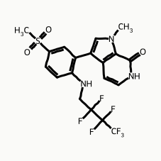 Cn1cc(-c2cc(S(C)(=O)=O)ccc2NCC(F)(F)C(F)(F)C(F)(F)F)c2cc[nH]c(=O)c21